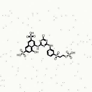 O=S(=O)(O)OCCS(=O)(=O)c1cccc(Nc2nc(Cl)nc(Nc3cc(S(=O)(=O)O)cc4cc(S(=O)(=O)O)cc(O)c34)n2)c1